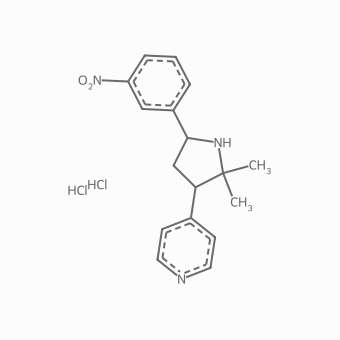 CC1(C)NC(c2cccc([N+](=O)[O-])c2)CC1c1ccncc1.Cl.Cl